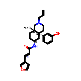 C=CCN1CC[C@@]2(c3cccc(O)c3)C[C@@H](NC(=O)/C=C/c3ccoc3)CC[C@]2(OC)C1